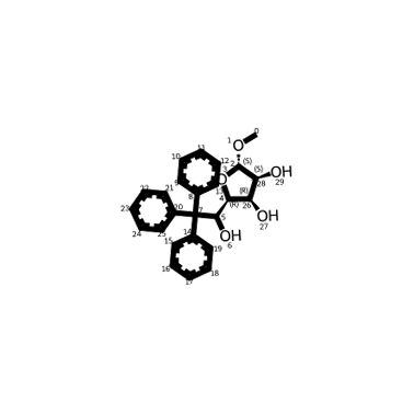 CO[C@H]1O[C@H](C(O)C(c2ccccc2)(c2ccccc2)c2ccccc2)[C@H](O)[C@@H]1O